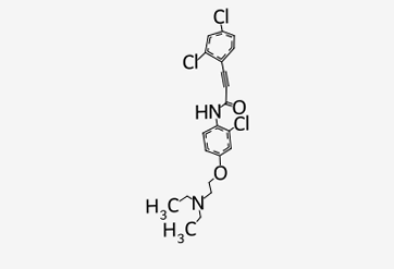 CCN(CC)CCOc1ccc(NC(=O)C#Cc2ccc(Cl)cc2Cl)c(Cl)c1